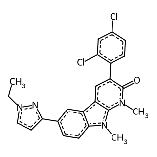 CCn1ccc(-c2ccc3c(c2)c2cc(-c4ccc(Cl)cc4Cl)c(=O)n(C)c2n3C)n1